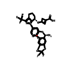 C[C@H](Oc1cc(-n2nc(C(F)(F)F)c3c2[C@@H](OC24CC(C(=O)O)(C2)C4)CCC3)cnc1F)c1cc2c(cc1F)OC(F)(F)O2